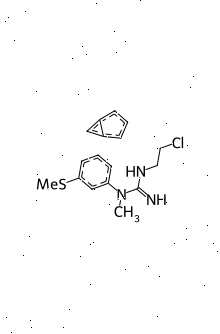 CSc1cccc(N(C)C(=N)NCCCl)c1.c1cc2cc-2c1